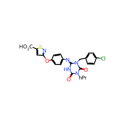 CCCn1c(=O)[nH]/c(=N\c2ccc(Oc3cc(C(=O)O)sn3)cc2)n(Cc2ccc(Cl)cc2)c1=O